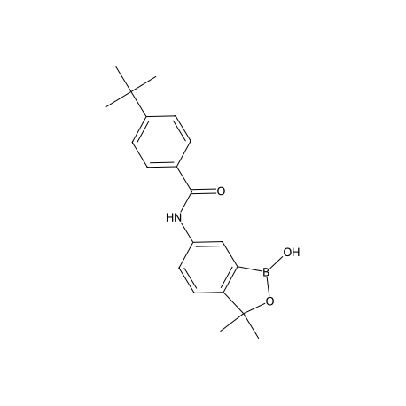 CC(C)(C)c1ccc(C(=O)Nc2ccc3c(c2)B(O)OC3(C)C)cc1